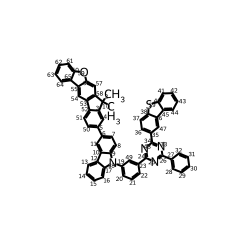 CC1(C)c2cc(-c3ccc4c(c3)c3ccccc3n4-c3cccc(-c4nc(-c5ccccc5)nc(-c5ccc6sc7ccccc7c6c5)n4)c3)ccc2-c2cc3c(cc21)oc1ccccc13